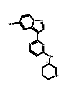 N#Cc1ccn2ncc(-c3nccc(N[C@@H]4CCCNC4)n3)c2c1